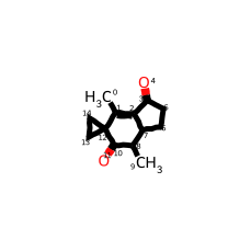 CC1=C2C(=O)CCC2C(C)C(=O)C12CC2